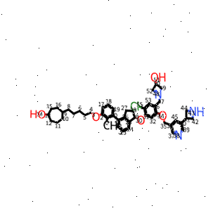 Cc1c(OCCCCCC2CCCC(O)CC2)cccc1-c1cccc2c1CC[C@@H]2Oc1cc(OCc2cncc(C3CNC3)c2)c(CN2CC(O)C2)cc1Cl